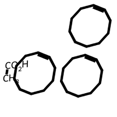 C1=C\CCCCCCCC/1.C1=C\CCCCCCCC/1.C1=C\CCCCCCCC/1.CC(=O)O